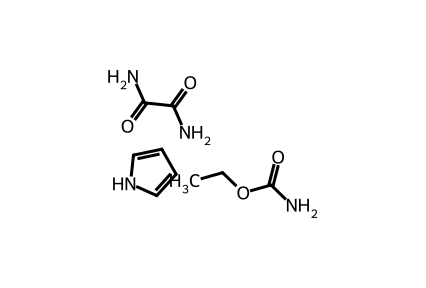 CCOC(N)=O.NC(=O)C(N)=O.c1cc[nH]c1